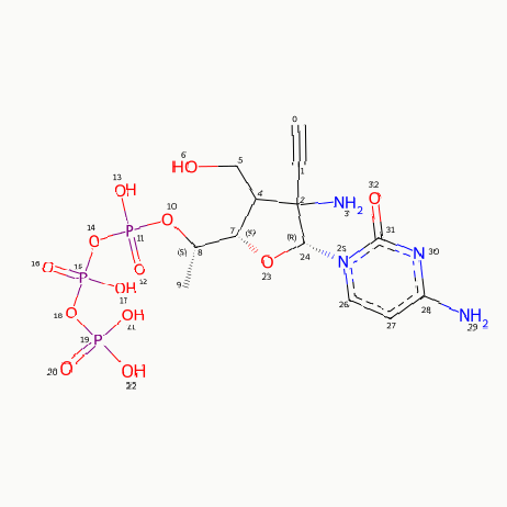 C#CC1(N)C(CO)[C@@H]([C@H](C)OP(=O)(O)OP(=O)(O)OP(=O)(O)O)O[C@H]1n1ccc(N)nc1=O